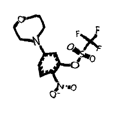 O=[N+]([O-])c1ccc(N2CCOCC2)cc1OS(=O)(=O)C(F)(F)F